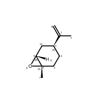 C=C(C)[C@H]1CC[C@]2(C)O[C@@H]2C1